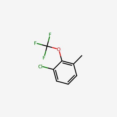 Cc1cccc(Cl)c1OC(F)(F)F